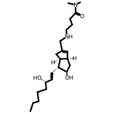 CCCCC[C@H](O)/C=C/[C@@H]1[C@H]2CC(CNCCCC(=O)N(C)C)=C[C@H]2C[C@H]1O